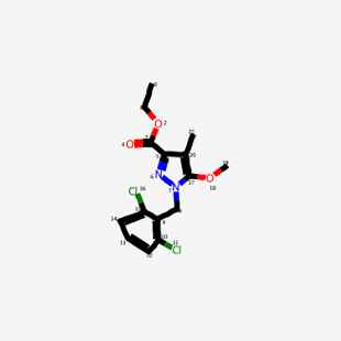 CCOC(=O)c1nn(Cc2c(Cl)cccc2Cl)c(OC)c1C